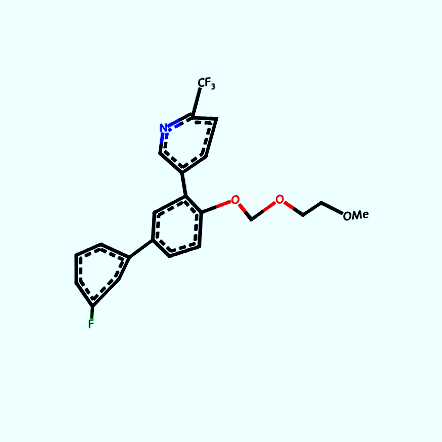 COCCOCOc1ccc(-c2cccc(F)c2)cc1-c1ccc(C(F)(F)F)nc1